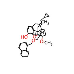 CO[C@]12CC[C@@]3(C[C@@H]1COCc1cccc4ccccc14)C(C)Cc1ccc(O)c4c1C3(CCCC1CC1)[C@H]2O4